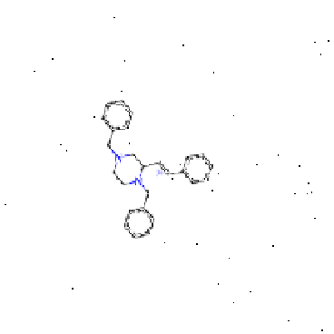 C(=C\C1CN(Cc2ccccc2)CCN1Cc1ccccc1)/c1ccccc1